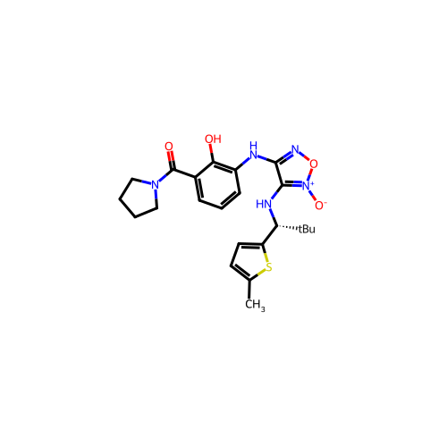 Cc1ccc([C@H](Nc2c(Nc3cccc(C(=O)N4CCCC4)c3O)no[n+]2[O-])C(C)(C)C)s1